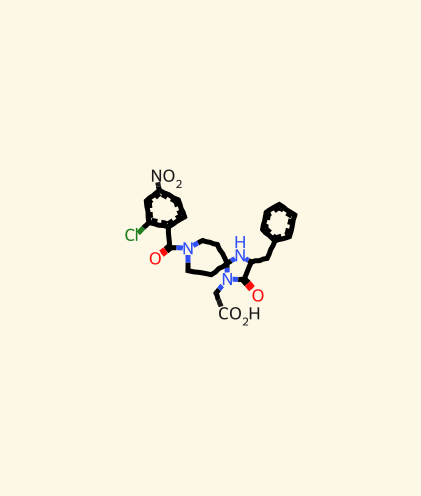 O=C(O)CN1C(=O)C(Cc2ccccc2)NC12CCN(C(=O)c1ccc([N+](=O)[O-])cc1Cl)CC2